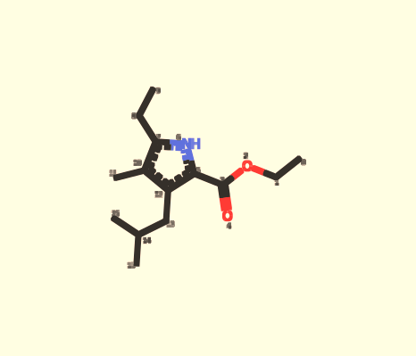 CCOC(=O)c1[nH]c(CC)c(C)c1CC(C)C